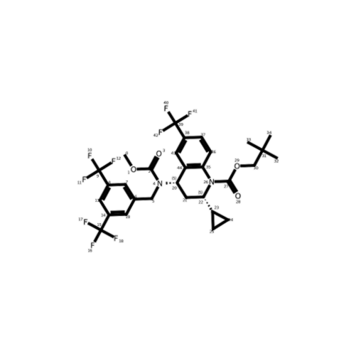 COC(=O)N(Cc1cc(C(F)(F)F)cc(C(F)(F)F)c1)[C@H]1C[C@@H](C2CC2)N(C(=O)OCC(C)(C)C)c2ccc(C(F)(F)F)cc21